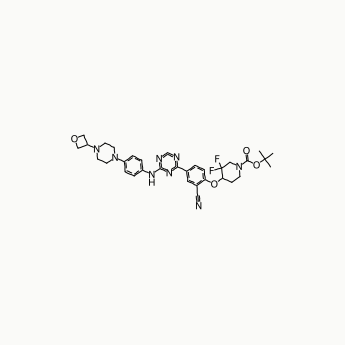 CC(C)(C)OC(=O)N1CCC(Oc2ccc(-c3ncnc(Nc4ccc(N5CCN(C6COC6)CC5)cc4)n3)cc2C#N)C(F)(F)C1